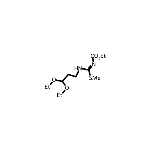 CCOC(=O)N=C(NCCC(OCC)OCC)SC